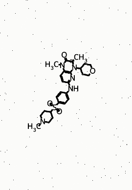 C[C@@H]1C(=O)N(C)c2ccc(Nc3ccc(S(=O)(=O)C4CCN(C)CC4)cc3)nc2N1C1CCOCC1